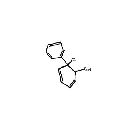 OC1C=CC=CC1(Cl)c1ccccc1